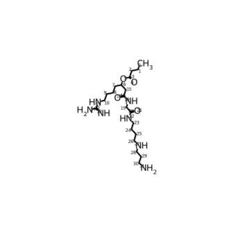 CCCC(=O)OC(CCCCNC(=N)N)CC(=O)NCC(=O)NCCCCNCCCN